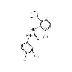 O=C(Nc1ccc(Cl)c(C(F)(F)F)c1)Nc1c(O)cccc1C1CCC1